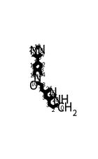 C=C1CCc2cc(/C=C/C(=O)N3CC4C=C(c5cncnc5)CC4C3)cnc2N1